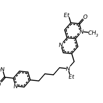 CCc1cc2ncc(CN(CC)CCCCc3ccc(C(=O)NC)nc3)cc2n(C)c1=O